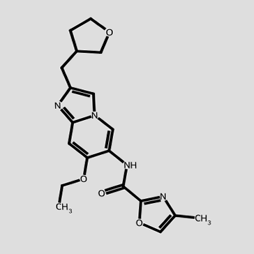 CCOc1cc2nc(CC3CCOC3)cn2cc1NC(=O)c1nc(C)co1